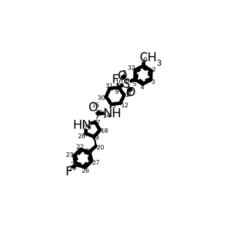 Cc1cccc(S(=O)(=O)[C@]2(F)CC[C@H](NC(=O)[C@@H]3C[C@@H](Cc4ccc(F)cc4)CN3)CC2)c1